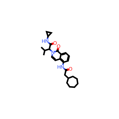 CC(C)C(C(=O)NC1CC1)n1ccc2c(NC(=O)CC3CCCCCC3)cccc2c1=O